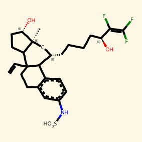 C=CC12CCc3cc(NS(=O)(=O)O)ccc3C1[C@@H](CCCC[C@H](O)C(F)=C(F)F)C[C@@]1(C)C2CC[C@@H]1O